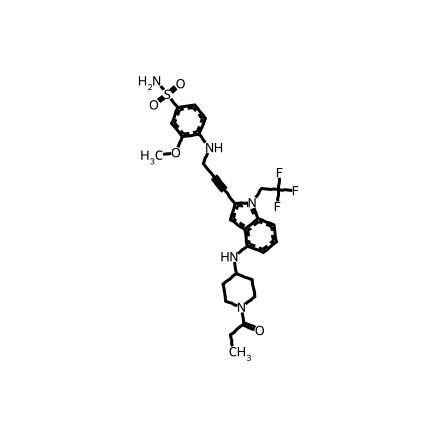 CCC(=O)N1CCC(Nc2cccc3c2cc(C#CCNc2ccc(S(N)(=O)=O)cc2OC)n3CC(F)(F)F)CC1